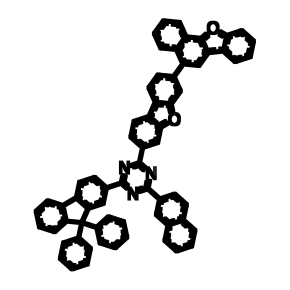 c1ccc(C2(c3ccccc3)c3ccccc3-c3ccc(-c4nc(-c5ccc6ccccc6c5)nc(-c5ccc6c(c5)oc5cc(-c7cc8c9ccccc9oc8c8ccccc78)ccc56)n4)cc32)cc1